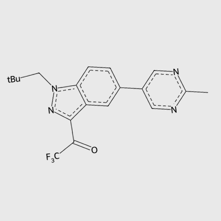 Cc1ncc(-c2ccc3c(c2)c(C(=O)C(F)(F)F)nn3CC(C)(C)C)cn1